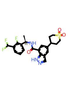 C[C@@H](NC(=O)c1cc(C2CCS(=O)(=O)CC2)cc2cn[nH]c12)c1cccc(C(F)F)c1F